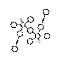 O=C1C(c2ccccc2)=C(c2ccc(C#Cc3ccccc3)cc2)C(c2ccc(C3=C(c4ccccc4)C(=O)C(c4ccccc4)=C3c3ccc(C#Cc4ccccc4)cc3)cc2)=C1c1ccccc1